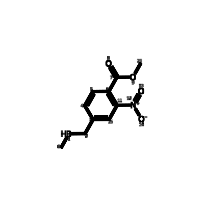 CBCc1ccc(C(=O)OC)c([N+](=O)[O-])c1